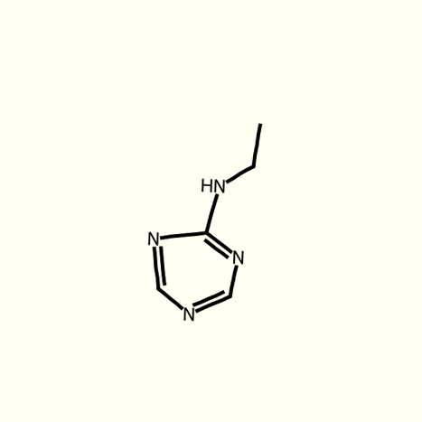 CCNc1ncncn1